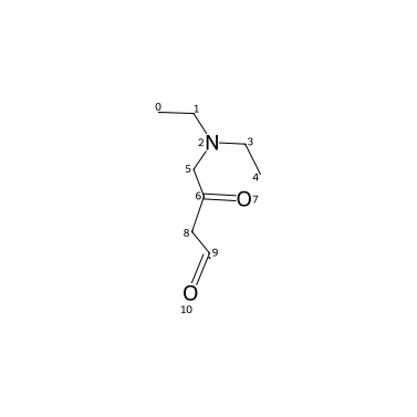 CCN(CC)CC(=O)C[C]=O